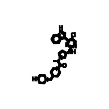 C[C@H](C(=O)N1CCC(CN2CCNCC2)CC1)N1CCC(Nc2ncc(Cl)c(-c3c[nH]c4ccccc34)n2)C1